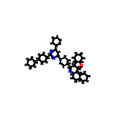 C1=CC(c2cc(-c3ccccc3)nc(-c3ccc(-c4ccccc4)cc3)n2)CC=C1c1nc2ccc3ccccc3c2c2oc3ccccc3c12